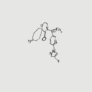 C[C@@H](c1ccc(-n2cc(F)cn2)nc1)N1CCOC2(CCC(=O)CC2)C1=O